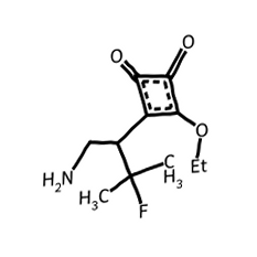 CCOc1c(C(CN)C(C)(C)F)c(=O)c1=O